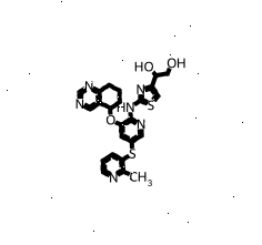 Cc1ncccc1Sc1cnc(Nc2nc(C(O)CO)cs2)c(OC2CCCc3ncncc32)c1